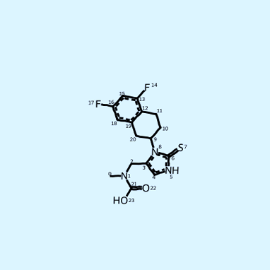 CN(Cc1c[nH]c(=S)n1C1CCc2c(F)cc(F)cc2C1)C(=O)O